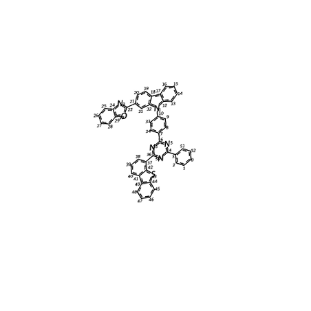 c1ccc(-c2nc(-c3ccc(-n4c5ccccc5c5ccc(-c6nc7ccccc7o6)cc54)cc3)nc(-c3cccc4c3sc3ccccc34)n2)cc1